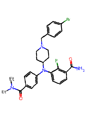 CCN(CC)C(=O)c1ccc(N(c2cccc(C(N)=O)c2F)C2CCN(Cc3ccc(Br)cc3)CC2)cc1